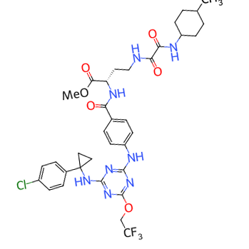 COC(=O)[C@H](CCNC(=O)C(=O)NC1CCC(C)CC1)NC(=O)c1ccc(Nc2nc(NC3(c4ccc(Cl)cc4)CC3)nc(OCC(F)(F)F)n2)cc1